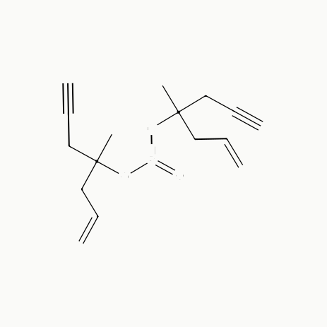 C#CCC(C)(CC=C)O[PH](=O)OC(C)(CC#C)CC=C